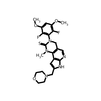 COc1cc(OC)c(F)c(N2Cc3cnc4[nH]c(CN5CCOCC5)cc4c3N(C)C2=S)c1F